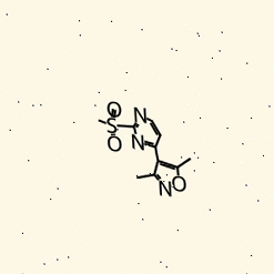 Cc1noc(C)c1-c1ccnc(S(C)(=O)=O)n1